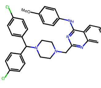 COc1ccc(Nc2nc(CN3CCN(C(c4ccc(Cl)cc4)c4ccc(Cl)cc4)CC3)nc3ccccc23)cc1